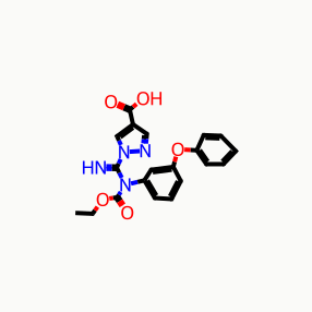 CCOC(=O)N(C(=N)n1cc(C(=O)O)cn1)c1cccc(Oc2ccccc2)c1